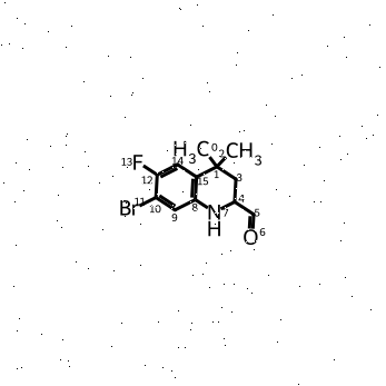 CC1(C)CC(C=O)Nc2cc(Br)c(F)cc21